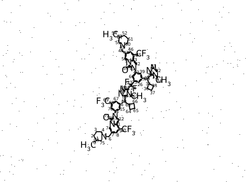 C[C@H]1CCCN(Cc2cc(C(F)(F)F)c3cn(-c4cc([C@H](c5nnc(C(F)(F)c6cc([C@@H](c7nncn7C)C7CCC7)cc(-n7cc8c(C(F)(F)F)cc(CN9CCC[C@H](C)C9)cn8c7=O)c6)n5C)C5CCC5)cc(C(F)(F)F)c4)c(=O)n3c2)C1